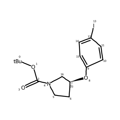 CC(C)(C)OC(=O)N1CC[C@H](Oc2ccc(I)cc2)C1